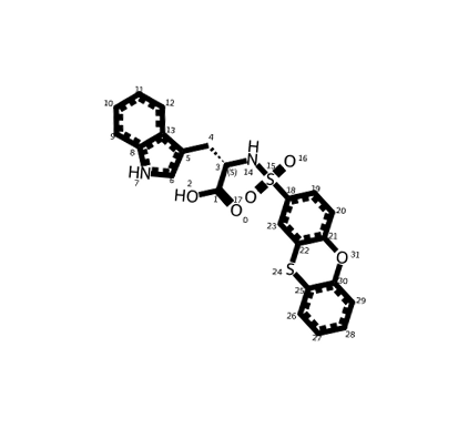 O=C(O)[C@H](Cc1c[nH]c2ccccc12)NS(=O)(=O)c1ccc2c(c1)Sc1ccccc1O2